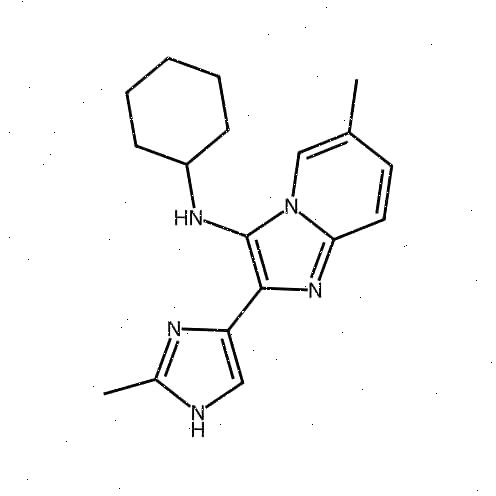 Cc1ccc2nc(-c3c[nH]c(C)n3)c(NC3CCCCC3)n2c1